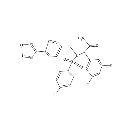 NC(=O)C(c1cc(F)cc(F)c1)N(Cc1ccc(-c2ncon2)cc1)S(=O)(=O)c1ccc(Cl)cc1